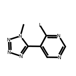 Cn1nnnc1-c1cncnc1I